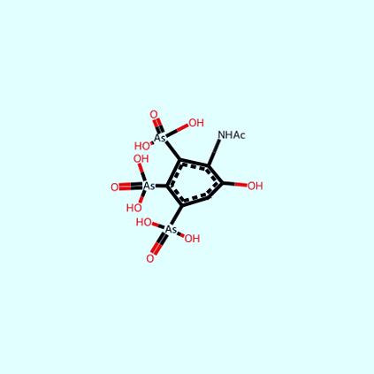 CC(=O)Nc1c(O)[c]c([As](=O)(O)O)c([As](=O)(O)O)c1[As](=O)(O)O